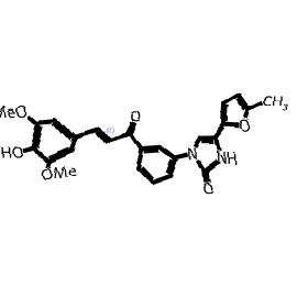 COc1cc(/C=C/C(=O)c2cccc(-n3cc(-c4ccc(C)o4)[nH]c3=O)c2)cc(OC)c1O